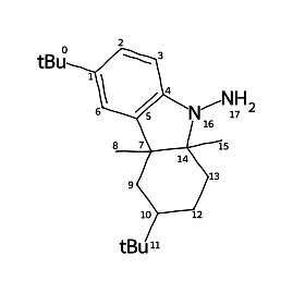 CC(C)(C)c1ccc2c(c1)C1(C)CC(C(C)(C)C)CCC1(C)N2N